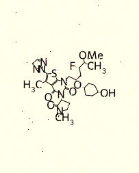 COC(C)[C@@H](F)C[C@H](Cn1c(=O)n([C@@H]2CCN(C)C2=O)c(=O)c2c(C)c(-n3nccn3)sc21)O[C@H]1CC[C@@H](O)CC1